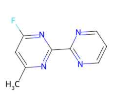 Cc1cc(F)nc(-c2ncccn2)n1